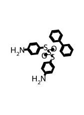 Nc1ccc(SS(=O)(=O)Sc2ccc(N)cc2)cc1.c1ccc(-c2ccccc2)cc1